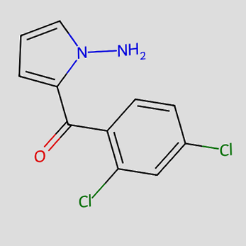 Nn1cccc1C(=O)c1ccc(Cl)cc1Cl